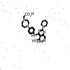 O=C(O)CN1CCCN(c2ccc(Nc3nc(N4CCCCC4)nc4c3C(O)NN=C4)cc2)CC1